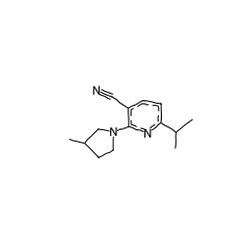 CC1CCN(c2nc(C(C)C)ccc2C#N)C1